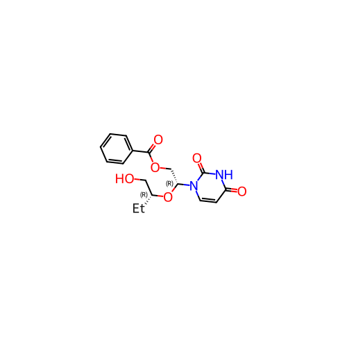 CC[C@H](CO)O[C@H](COC(=O)c1ccccc1)n1ccc(=O)[nH]c1=O